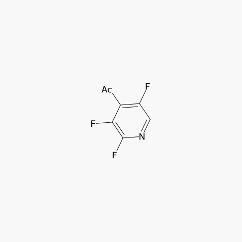 CC(=O)c1c(F)cnc(F)c1F